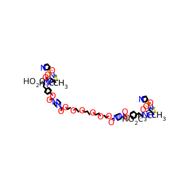 CC1(C)SCN(S(=O)(=O)c2cccnc2)[C@@H]1C(=O)N[C@@H](Cc1ccc(OC(=O)N2CCN(C(=O)OCCOCCOCCCOCCOCCOC(=O)N3CCN(C(=O)Oc4ccc(C[C@H](NC(=O)[C@H]5N(S(=O)(=O)c6cccnc6)CSC5(C)C)C(=O)O)cc4)CC3)CC2)cc1)C(=O)O